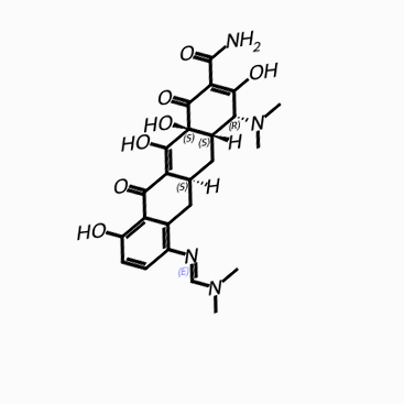 CN(C)/C=N/c1ccc(O)c2c1C[C@@H]1C[C@H]3[C@@H](N(C)C)C(O)=C(C(N)=O)C(=O)[C@@]3(O)C(O)=C1C2=O